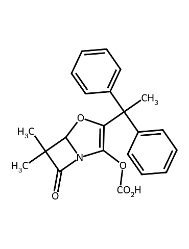 CC(C1=C(OC(=O)O)N2C(=O)C(C)(C)C2O1)(c1ccccc1)c1ccccc1